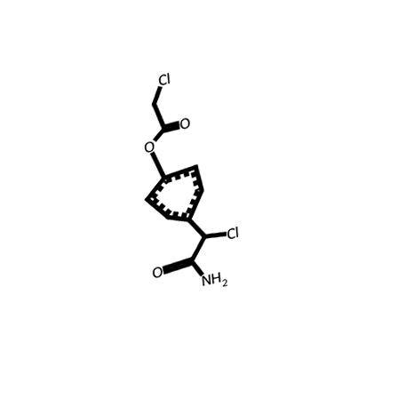 NC(=O)C(Cl)c1ccc(OC(=O)CCl)cc1